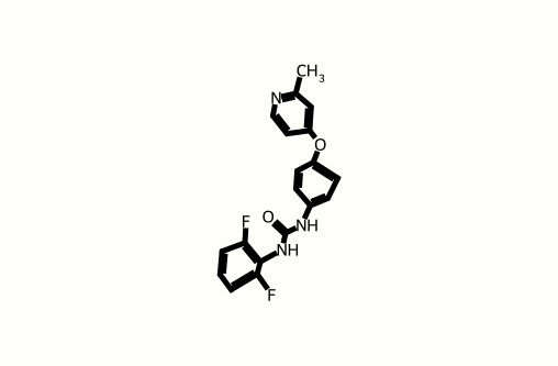 Cc1cc(Oc2ccc(NC(=O)Nc3c(F)cccc3F)cc2)ccn1